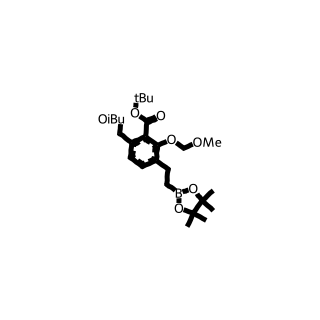 COCOc1c(CCB2OC(C)(C)C(C)(C)O2)ccc(COCC(C)C)c1C(=O)OC(C)(C)C